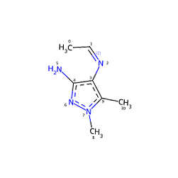 C/C=N\c1c(N)nn(C)c1C